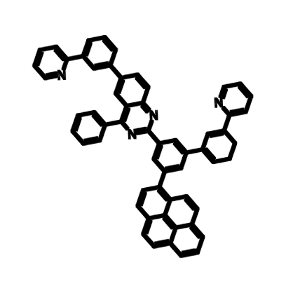 C1=C(c2cc(-c3nc(-c4ccccc4)c4cc(-c5cccc(-c6ccccn6)c5)ccc4n3)cc(-c3ccc4ccc5cccc6ccc3c4c56)c2)C=C(c2ccccn2)CC1